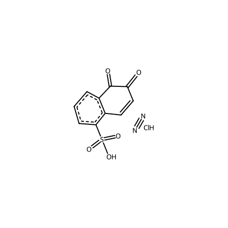 Cl.N#N.O=C1C=Cc2c(cccc2S(=O)(=O)O)C1=O